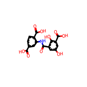 O=C(O)c1ccc(C(=O)O)c(NC(=O)c2cc(O)cc(C(=O)O)c2O)c1